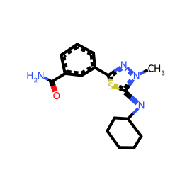 Cn1nc(-c2cccc(C(N)=O)c2)sc1=NC1CCCCC1